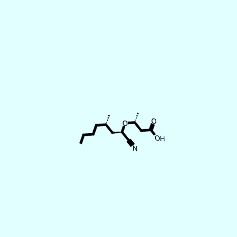 CCCC[C@H](C)C[C@H](C#N)O[C@H](C)CC(=O)O